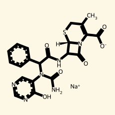 CC1=C(C(=O)[O-])N2C(=O)C(NC(=O)C(c3ccccc3)N(C(N)=O)c3cncnc3O)[C@@H]2SC1.[Na+]